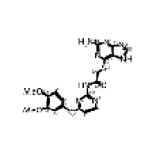 COc1ccc(Oc2ccnc(NC(=O)CSc3nc(N)nc4nc[nH]c34)n2)cc1OC